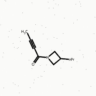 CC#CC(=O)N1CC(CCC)C1